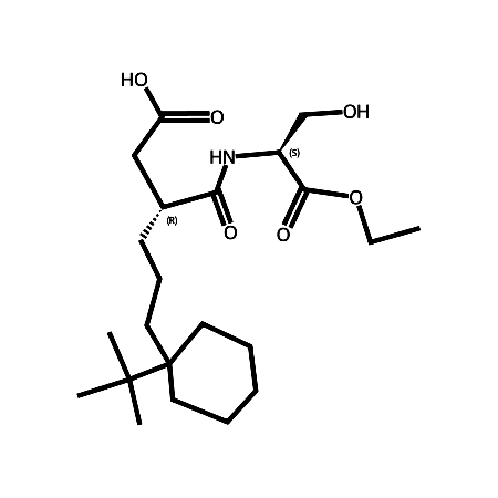 CCOC(=O)[C@H](CO)NC(=O)[C@H](CCCC1(C(C)(C)C)CCCCC1)CC(=O)O